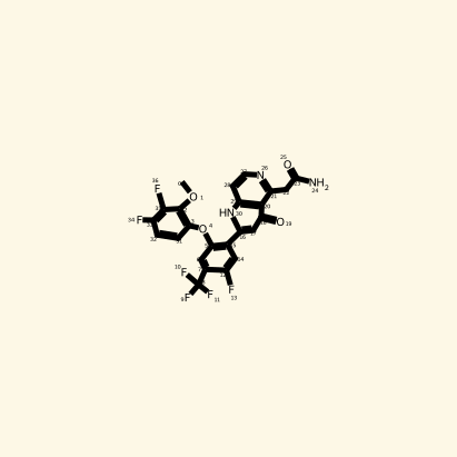 COc1c(Oc2cc(C(F)(F)F)c(F)cc2-c2cc(=O)c3c(CC(N)=O)nccc3[nH]2)ccc(F)c1F